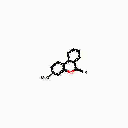 COc1ccc2c(c1)oc(=[Te])c1ccccc12